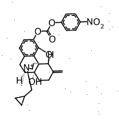 C=C1CC[C@@]2(O)[C@H]3Cc4ccc(OC(=O)Oc5ccc([N+](=O)[O-])cc5)c5c4[C@@]2(CC[N@@+]3(C)CC2CC2)[C@H]1O5